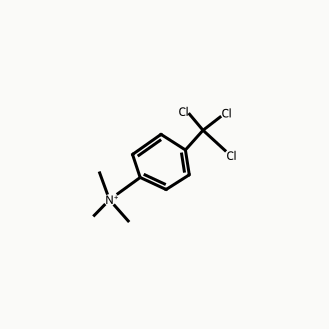 C[N+](C)(C)c1ccc(C(Cl)(Cl)Cl)cc1